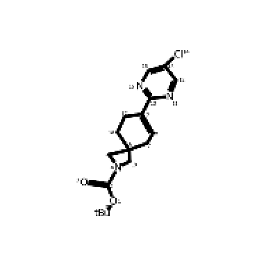 CC(C)(C)OC(=O)N1CC2(CC=C(c3ncc(Cl)cn3)CC2)C1